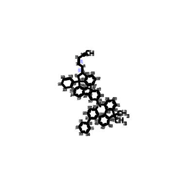 C#C/C=C\C=C1/CC(C2=CCCC=C2)(c2cccc3c2oc2ccc(N(c4ccc(-c5ccccc5)cc4)c4cccc5c4-c4ccccc4C5(C)C)cc23)c2ccccc21